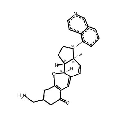 C[C@]12C=CC3=CC4=C(CC(CN)CC4=O)O[C@H]3[C@@H]1CC[C@@H]2c1cccc2cnccc12